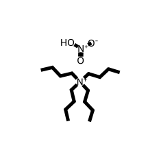 CCCC[N+](CCCC)(CCCC)CCCC.O=[N+]([O-])O